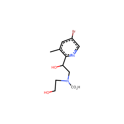 Cc1cc(Br)cnc1C(O)CN(CCO)C(=O)O